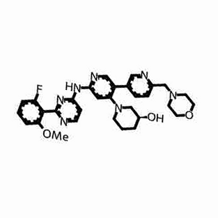 COc1cccc(F)c1-c1nccc(Nc2cc(N3CCC[C@H](O)C3)c(-c3ccc(CN4CCOCC4)nc3)cn2)n1